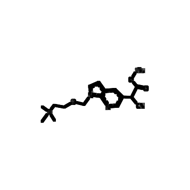 CC(C)(C)OC(=O)C(C#N)c1cnc2c(ccn2COCC[Si](C)(C)C)c1